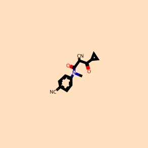 CN(C(=O)C(C#N)C(=O)C1CC1)c1ccc(C#N)cc1